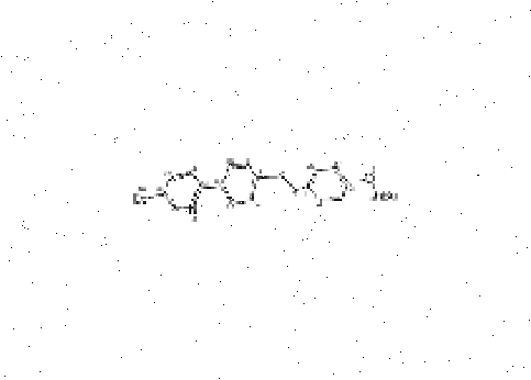 CCCCOc1ccc(CCc2ccc(-c3ccc(CC)cn3)cc2)cc1